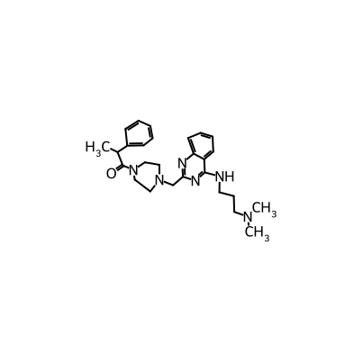 CC(C(=O)N1CCN(Cc2nc(NCCCN(C)C)c3ccccc3n2)CC1)c1ccccc1